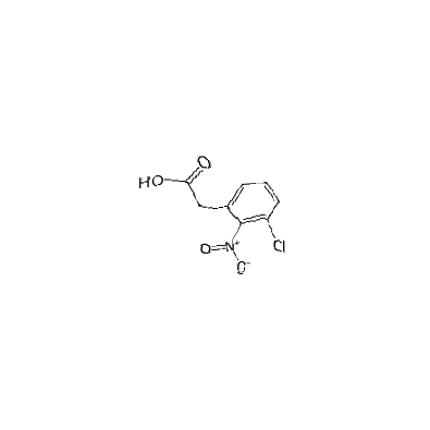 O=C(O)Cc1cccc(Cl)c1[N+](=O)[O-]